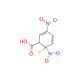 O=C(O)C1C=C([N+](=O)[O-])C=CC1(F)[N+](=O)[O-]